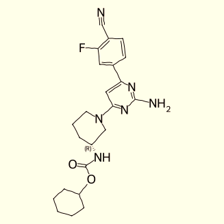 N#Cc1ccc(-c2cc(N3CCC[C@@H](NC(=O)OC4CCCCC4)C3)nc(N)n2)cc1F